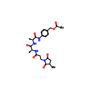 C[C@H](NC(=O)CCN1C(=O)CC(C(C)(C)C)C1=O)C(=O)N[C@@H](C)C(=O)Nc1ccc(COC(=O)C(C)(C)C)cc1